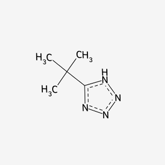 CC(C)(C)c1nnn[nH]1